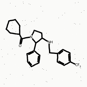 O=C(C1CCCCC1)N1CCC(NCc2ccc(C(F)(F)F)cc2)C1c1ccccc1